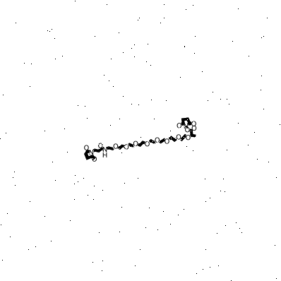 CC(OCCOCCOCCOCCOCCOCCOCCOCCNC(=O)CCN1C(=O)C=CC1=O)C(=O)ON1C(=O)CCC1=O